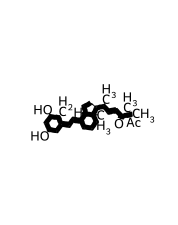 C=C1/C(=C\C=C2/CCC[C@]3(C)[C@@H]([C@H](C)/C=C/C(=O)C(C)(C)C(C)=O)CC[C@@H]23)C[C@@H](O)C[C@@H]1O